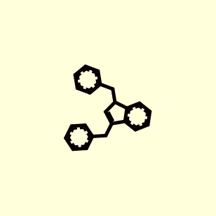 C1=C(Cc2ccccc2)c2ccccc2C1Cc1ccccc1